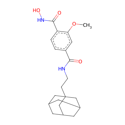 COc1cc(C(=O)NCCC23CC4CC(CC(C4)C2)C3)ccc1C(=O)NO